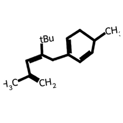 C=C(C)/C=C(\CC1=CCC(C)C=C1)C(C)(C)C